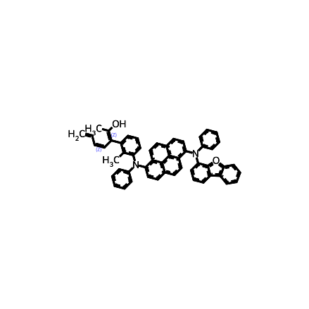 C=C/C=C\C(=C(/C)O)c1cccc(N(c2ccccc2)c2ccc3ccc4c(N(c5ccccc5)c5cccc6c5oc5ccccc56)ccc5ccc2c3c54)c1C